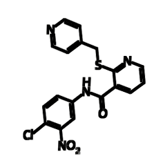 O=C(Nc1ccc(Cl)c([N+](=O)[O-])c1)c1cccnc1SCc1ccncc1